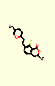 CCCC1Cc2ccc(CCC3CCC(CC)CO3)c(F)c2C(=O)O1